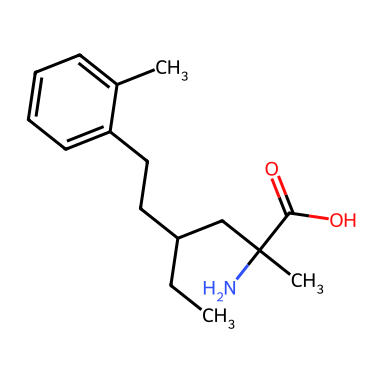 CCC(CCc1ccccc1C)CC(C)(N)C(=O)O